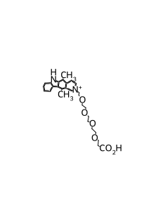 Cc1c2cc[n+](CCOCCOCCOCCOCCC(=O)O)cc2c(C)c2c1[nH]c1ccccc12